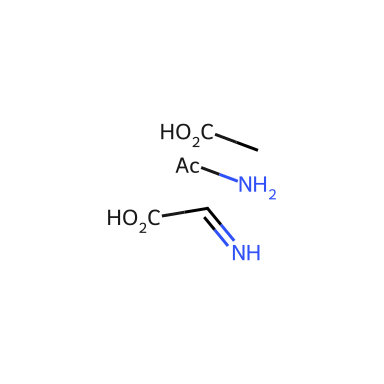 CC(=O)O.CC(N)=O.N=CC(=O)O